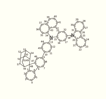 c1ccc2c(c1)-c1ccc(-c3ccc(N(c4ccc(-n5c6ccccc6c6ccccc65)cc4)c4cccc5ccccc45)cc3)cc1C21C2CC3CC(C2)CC1C3